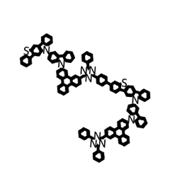 c1ccc(-c2nc(-c3ccccc3)nc(-c3ccc4c5ccc(-n6c7ccccc7c7cc(-n8c9ccccc9c9cc%10sc%11cc(-c%12ccc(-c%13nc(-c%14ccccc%14)nc(-c%14ccc%15c%16ccccc%16c%16ccc(-n%17c%18ccccc%18c%18cc(-n%19c%20ccccc%20c%20cc%21sc%22ccccc%22c%21cc%20%19)ccc%18%17)cc%16c%15c%14)n%13)cc%12)ccc%11c%10cc98)ccc76)cc5c5ccccc5c4c3)n2)cc1